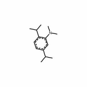 CC(C)c1ccc(C(C)C)c(N(C)C)c1